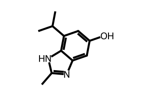 Cc1nc2cc(O)cc(C(C)C)c2[nH]1